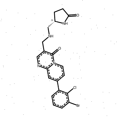 O=C1CC[C@@H](CNCc2cnc3cc(-c4cccc(Br)c4Cl)ccn3c2=O)N1